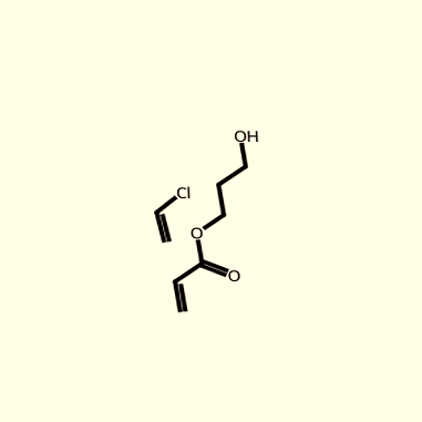 C=CC(=O)OCCCO.C=CCl